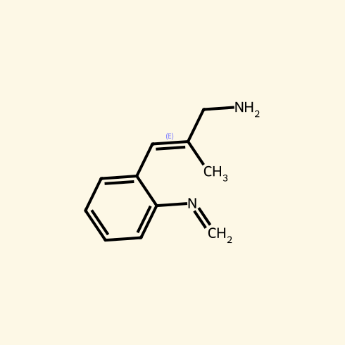 C=Nc1ccccc1/C=C(\C)CN